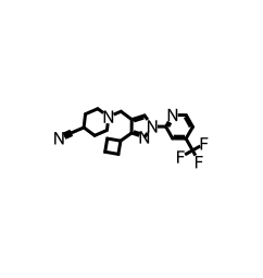 N#CC1CCN(Cc2cn(-c3cc(C(F)(F)F)ccn3)nc2C2CCC2)CC1